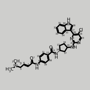 CN(C)C/C=C/C(=O)Nc1ccc(C(=O)N[C@@H]2CCC(Nc3ncc(Cl)c(-c4c[nH]c5ccccc45)n3)C2)cc1